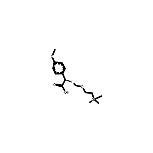 COc1ccc([C@@H](OCOCC[Si](C)(C)C)C(=O)O)cc1